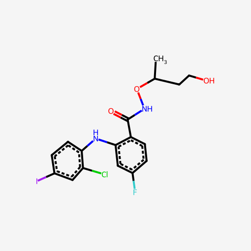 CC(CCO)ONC(=O)c1ccc(F)cc1Nc1ccc(I)cc1Cl